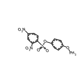 O=[N+]([O-])c1ccc(S(=O)(=O)Oc2ccc(OP)cc2)c([N+](=O)[O-])c1